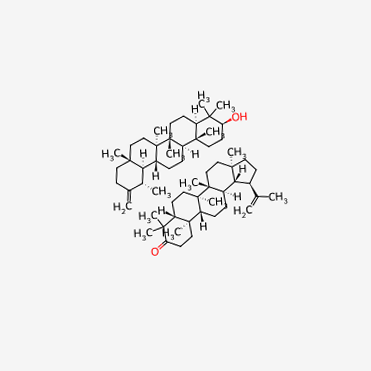 C=C(C)[C@@H]1CC[C@]2(C)CC[C@]3(C)[C@H](CC[C@@H]4[C@@]5(C)CCC(=O)C(C)(C)[C@@H]5CC[C@]43C)[C@@H]12.C=C1CC[C@]2(C)CC[C@]3(C)[C@H](CC[C@@H]4[C@@]5(C)CC[C@H](O)C(C)(C)[C@@H]5CC[C@]43C)[C@H]2[C@@H]1C